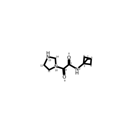 O=C(NC12CC(C1)C2)C(=O)N1CCNC1